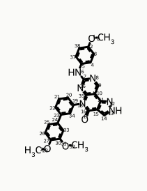 COc1ccc(Nc2ncc3c4n[nH]cc4c(=O)n(-c4cccc(-c5ccc(OC)c(OC)c5)c4)c3n2)cc1